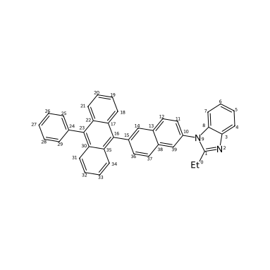 CCc1nc2ccccc2n1-c1ccc2cc(-c3c4ccccc4c(-c4ccccc4)c4ccccc34)ccc2c1